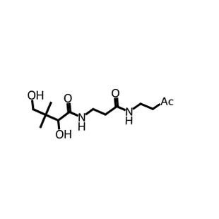 CC(=O)CCNC(=O)CCNC(=O)C(O)C(C)(C)CO